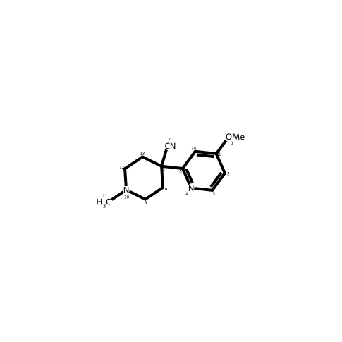 COc1ccnc(C2(C#N)CCN(C)CC2)c1